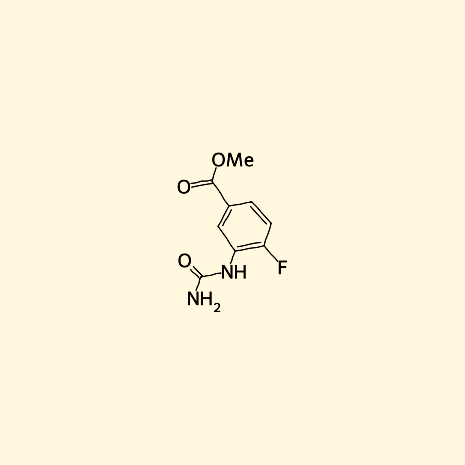 COC(=O)c1ccc(F)c(NC(N)=O)c1